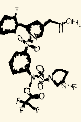 CNCc1cc(-c2ccccc2F)n(S(=O)(=O)c2cccc(N(OC(=O)C(F)(F)F)S(=O)(=O)N3CC[C@H](F)C3)c2)c1